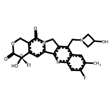 CC[C@@]1(O)C(=O)OCc2c1cc1n(c2=O)Cc2c-1nc1cc(F)c(C)cc1c2CN1CC(O)C1